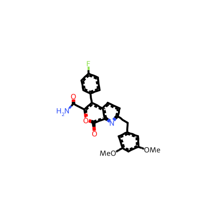 COc1cc(Cc2ccc3c(-c4ccc(F)cc4)c(C(N)=O)oc(=O)c3n2)cc(OC)c1